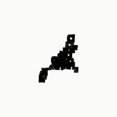 CN1CC2CC1CN2CCCNC(=O)Nc1snc(OC(F)(F)c2ccc(Cl)cc2F)c1C(N)=O